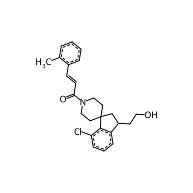 Cc1ccccc1/C=C/C(=O)N1CCC2(CC1)CC(CCO)c1cccc(Cl)c12